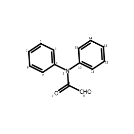 O=CC(=O)N(c1ccccc1)c1ccccc1